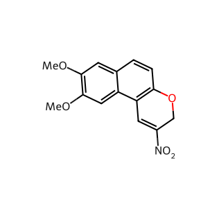 COc1cc2ccc3c(c2cc1OC)C=C([N+](=O)[O-])CO3